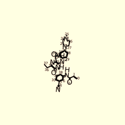 C=CC(=O)Nc1cc(C#N)cc(Oc2nc(Nc3ccc(N4CCN(C)CC4)cc3)c(C(N)=O)nc2CC)c1